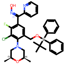 C[C@@H]1CN(c2c(CO[Si](c3ccccc3)(c3ccccc3)C(C)(C)C)cc(/C(=N/O)c3ccccn3)c(F)c2Cl)C[C@H](C)O1